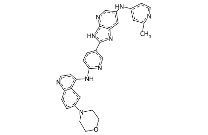 Cc1cc(Nc2cnc3[nH]c(-c4ccc(Nc5ccnc6ccc(N7CCOCC7)cc56)nc4)nc3c2)ccn1